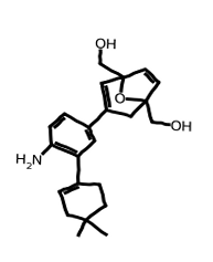 CC1(C)CC=C(c2cc(C3=CC4(CO)C=CC(CO)(C3)O4)ccc2N)CC1